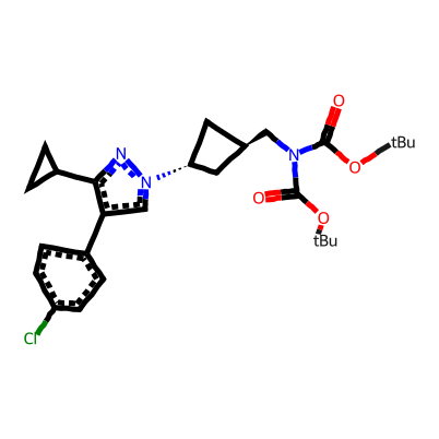 CC(C)(C)OC(=O)N(C[C@H]1C[C@H](n2cc(-c3ccc(Cl)cc3)c(C3CC3)n2)C1)C(=O)OC(C)(C)C